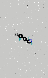 CCc1ccc(C2CCC(c3ccc(F)nc3F)CC2)c(F)c1